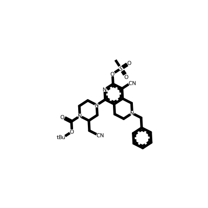 CC(C)(C)OC(=O)N1CCN(c2nc(OS(C)(=O)=O)c(C#N)c3c2CCN(Cc2ccccc2)C3)CC1CC#N